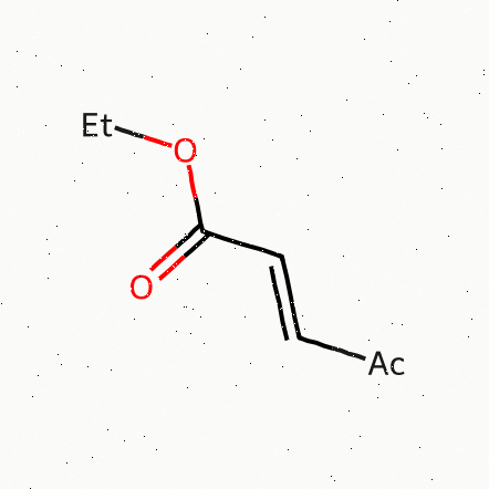 CCOC(=O)C=CC(C)=O